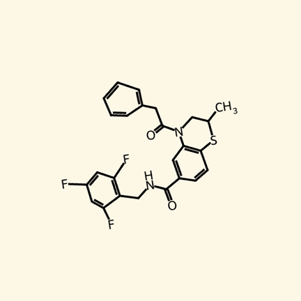 CC1CN(C(=O)Cc2ccccc2)c2cc(C(=O)NCc3c(F)cc(F)cc3F)ccc2S1